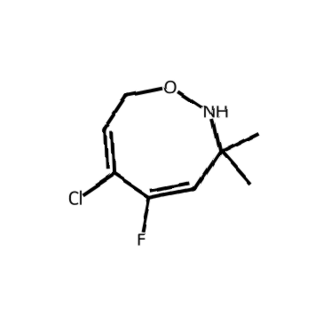 CC1(C)/C=C(F)\C(Cl)=C/CON1